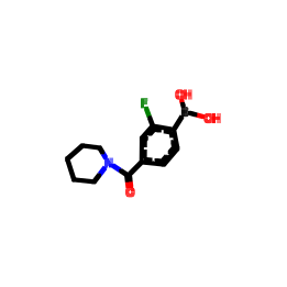 O=C(c1ccc(B(O)O)c(F)c1)N1CCCCC1